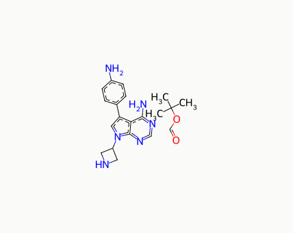 CC(C)(C)OC=O.Nc1ccc(-c2cn(C3CNC3)c3ncnc(N)c23)cc1